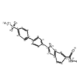 CS(=O)(=O)c1ccc(-c2ccc(-c3nc4ccc(C(=O)NO)cc4[nH]3)cc2)cc1